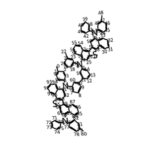 Cc1ccc(N(c2cccc(-c3cccc(N(c4cccc(C)c4)c4cc5sc6c7ccccc7c(N(c7ccccc7)c7cccc(C)c7)cc6c5c5ccccc45)c3)c2)c2cc3c(sc4cc(N(c5ccccc5)c5ccc(C)cc5)c5ccccc5c43)c3ccccc23)cc1